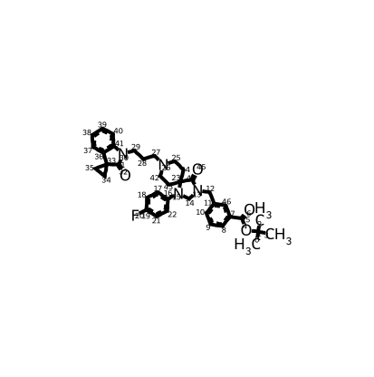 CC(C)(C)OC(=O)c1cccc(CN2CN(c3ccc(F)cc3)C3(CCN(CCCN4C(=O)C5(CC5)c5ccccc54)CC3)C2=O)c1